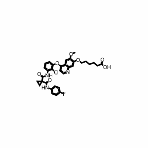 COc1cc2c(Oc3cccc(NC(=O)C4(C(=O)Nc5ccc(F)cc5)CC4)c3Cl)ccnc2cc1OCCCCCC(=O)O